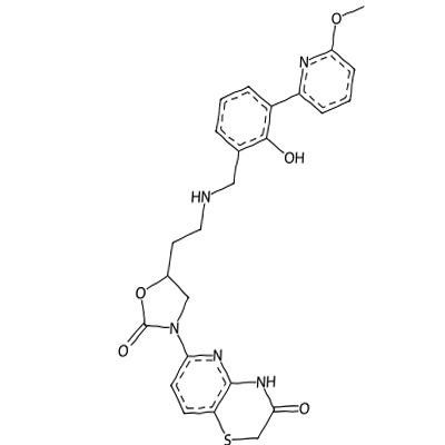 COc1cccc(-c2cccc(CNCCC3CN(c4ccc5c(n4)NC(=O)CS5)C(=O)O3)c2O)n1